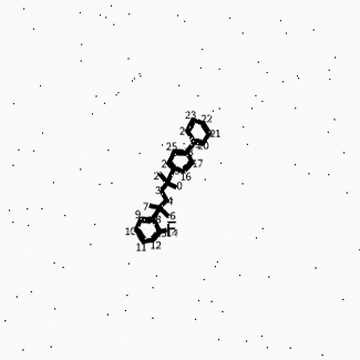 CC(C)(CCC(C)(C)c1ccccc1F)c1ccc(-c2ccccc2)cc1